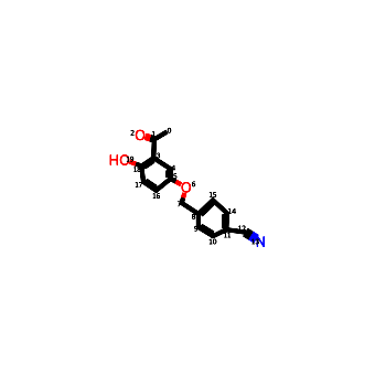 CC(=O)c1cc(OCc2ccc(C#N)cc2)ccc1O